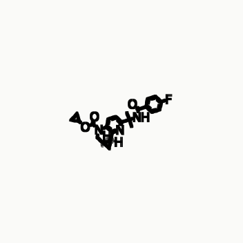 CC(C)(NC(=O)c1ccc(F)cc1)c1ccc2c(n1)[C@H]1C[C@H]1CN2C(=O)OC1CC1